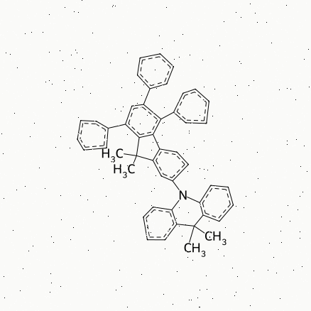 CC1(C)c2ccccc2N(c2ccc3c(c2)C(C)(C)c2c(-c4ccccc4)cc(-c4ccccc4)c(-c4ccccc4)c2-3)c2ccccc21